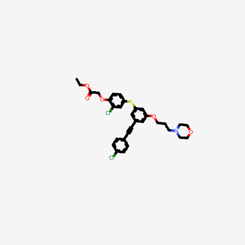 CCOC(=O)COc1ccc(Sc2cc(C#Cc3ccc(Cl)cc3)cc(OCCCN3CCOCC3)c2)cc1Cl